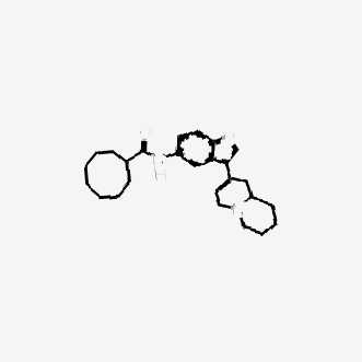 O=C(Nc1ccc2occ(C3=CCN4CCCCC4C3)c2c1)C1CCCCCCC1